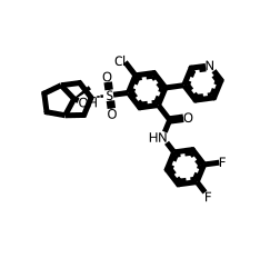 C[C@]1(O)C2CCC1C[C@@H](S(=O)(=O)c1cc(C(=O)Nc3ccc(F)c(F)c3)c(-c3cccnc3)cc1Cl)C2